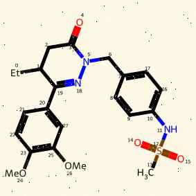 CCC1CC(=O)N(Cc2ccc(NS(C)(=O)=O)cc2)N=C1c1ccc(OC)c(OC)c1